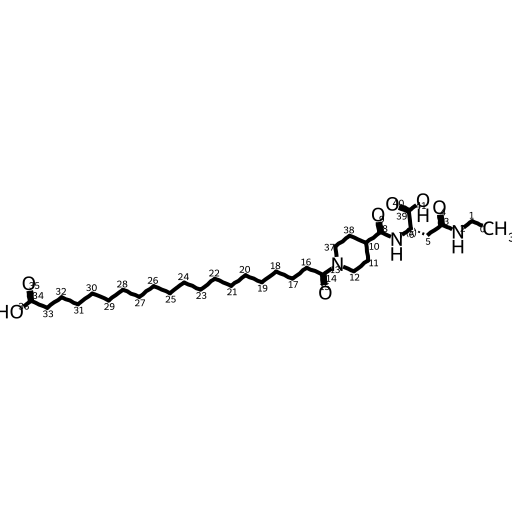 CCNC(=O)C[C@H](NC(=O)C1CCN(C(=O)CCCCCCCCCCCCCCCCCCC(=O)O)CC1)C(=O)O